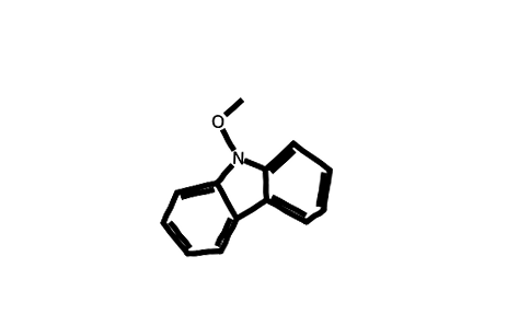 COn1c2ccccc2c2ccccc21